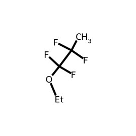 CCOC(F)(F)C(C)(F)F